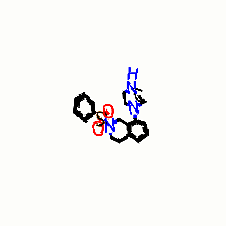 O=S(=O)(c1ccccc1)N1CCc2cccc(N3CCNCC3)c2C1